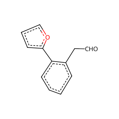 O=CCc1ccccc1-c1ccco1